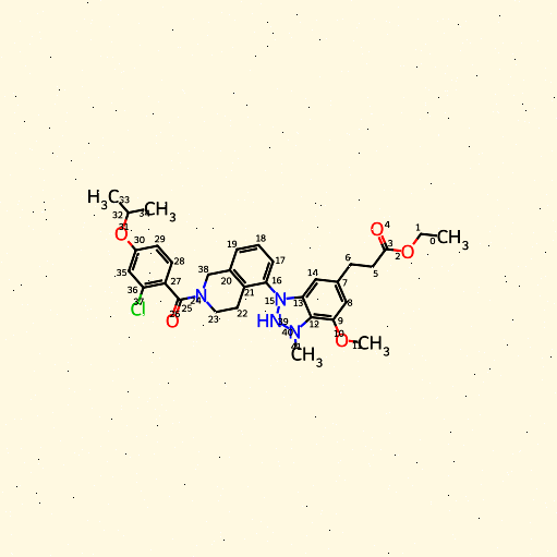 CCOC(=O)CCc1cc(OC)c2c(c1)N(c1cccc3c1CCN(C(=O)c1ccc(OC(C)C)cc1Cl)C3)NN2C